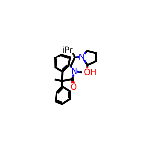 CC(C)C(CN(C)C(=O)C(C)(c1ccccc1)c1ccccc1)N1CCCC1O